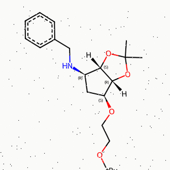 CC(C)(C)OCCO[C@H]1C[C@@H](NCc2ccccc2)[C@@H]2OC(C)(C)O[C@@H]21